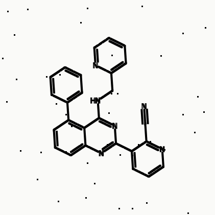 N#Cc1ncccc1-c1nc(NCc2ccccn2)c2c(-c3ccccc3)cccc2n1